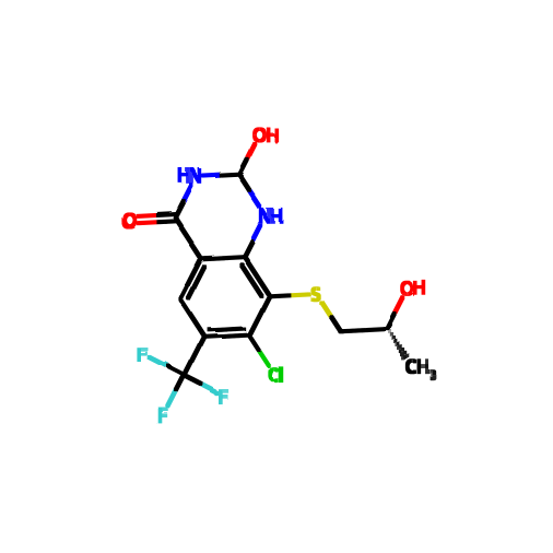 C[C@@H](O)CSc1c(Cl)c(C(F)(F)F)cc2c1NC(O)NC2=O